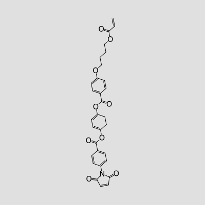 C=CC(=O)OCCCCOc1ccc(C(=O)OC2=CC=C(OC(=O)c3ccc(N4C(=O)C=CC4=O)cc3)CC2)cc1